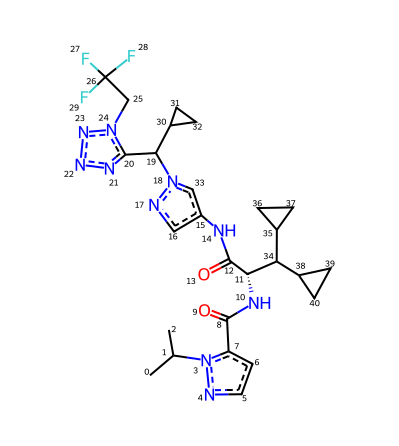 CC(C)n1nccc1C(=O)N[C@H](C(=O)Nc1cnn(C(c2nnnn2CC(F)(F)F)C2CC2)c1)C(C1CC1)C1CC1